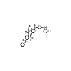 O=c1c(-c2ccc(S(=O)(=O)c3ccccc3)cc2C(F)(F)F)cc2cnc(Nc3ccc(NC4CCCNC4)cc3)nc2n1CC1CC1